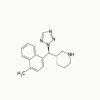 Cc1ccc([C@H]([C@H]2CCCNC2)n2ncnn2)c2ccccc12